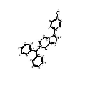 Clc1ccc(-c2nnc3n2CCN(C(c2ccccc2)c2ccccc2)C3)cc1